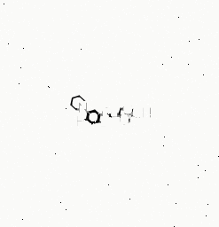 CC1(C)OC[C@H](COc2cc(N3CCCCC3)c(F)cc2F)O1